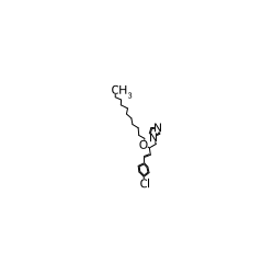 CCCCCCCCCCCOC(C=Cc1ccc(Cl)cc1)Cn1ccnc1